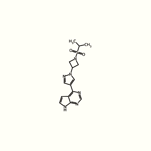 CC(C)S(=O)(=O)N1CC(n2cc(-c3ncnc4[nH]ccc34)cn2)C1